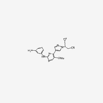 COc1cnc(Nc2cccc(N)c2)nc1-c1cnn(C(CC#N)C2CC2)c1